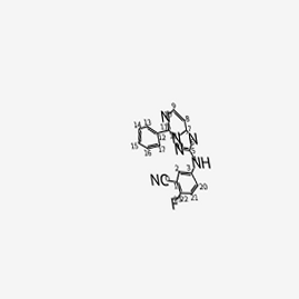 N#Cc1cc(Nc2nc3ccnc(-c4ccccc4)n3n2)ccc1F